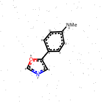 CNc1ccc(-c2cnco2)cc1